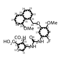 COc1cc(F)c(NC(=O)Nc2csc(C(=O)O)c2C(=O)O)cc1OCc1cccc2ccnc(OC)c12